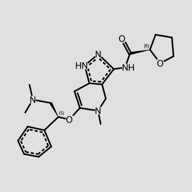 CN(C)C[C@@H](OC1=Cc2[nH]nc(NC(=O)[C@H]3CCCO3)c2CN1C)c1ccccc1